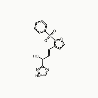 O=S(=O)(c1ccccc1)c1occc1C=CC(O)c1nc[nH]n1